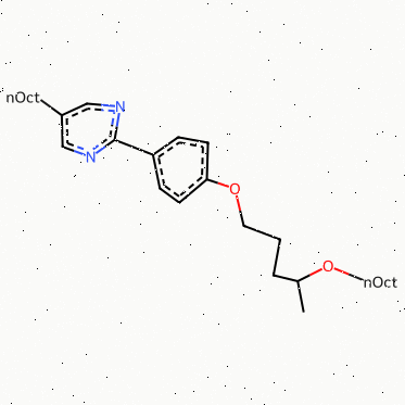 CCCCCCCCOC(C)CCCOc1ccc(-c2ncc(CCCCCCCC)cn2)cc1